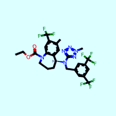 CCOC(=O)N1CCC[C@H](N(Cc2cc(C(F)(F)F)cc(C(F)(F)F)c2)c2nnn(C)n2)c2cc(C)c(C(F)(F)F)cc21